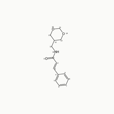 O=C(C=Cc1ccccc1)NCC1COCOC1